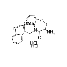 COc1cnc2ccccc2c1CN1C(=O)C(N)CCc2ccccc21.Cl.Cl